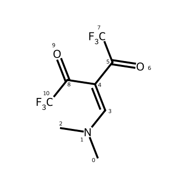 CN(C)C=C(C(=O)C(F)(F)F)C(=O)C(F)(F)F